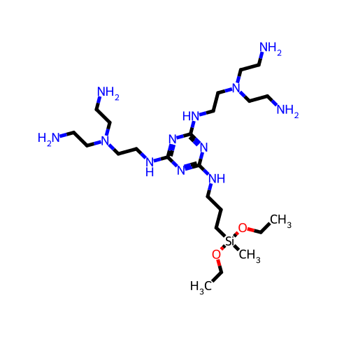 CCO[Si](C)(CCCNc1nc(NCCN(CCN)CCN)nc(NCCN(CCN)CCN)n1)OCC